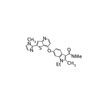 CCn1c(C)c(C(=O)NC)c2ccc(Oc3ccnc4cc(-c5nccn5C)sc34)cc21